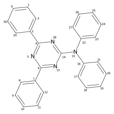 c1ccc(-c2nc(-c3ccccc3)nc(N(c3ccccc3)c3ccccc3)n2)cc1